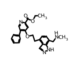 CCOC(=O)c1cc(OCCc2ccc(CNC)c3[nH]ncc23)c(-c2ccccc2)cn1